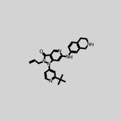 C=CCn1c(=O)c2cnc(Nc3ccc4c(c3)CNCC4)cc2n1-c1ccnc(C(C)(C)C)c1